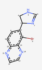 Brc1c(C2CN[C]=N2)ccc2nccnc12